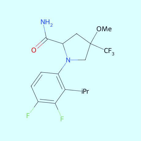 COC1(C(F)(F)F)CC(C(N)=O)N(c2ccc(F)c(F)c2C(C)C)C1